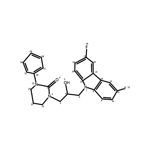 O=C1N(CC(O)Cn2c3ccc(F)cc3c3cc(F)ccc32)CCCN1c1ccccc1